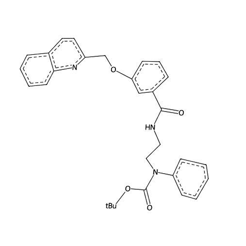 CC(C)(C)OC(=O)N(CCNC(=O)c1cccc(OCc2ccc3ccccc3n2)c1)c1ccccc1